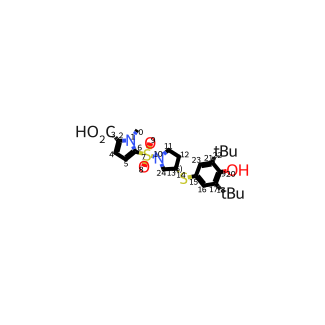 Cn1c(C(=O)O)ccc1S(=O)(=O)N1CC[C@H](Sc2cc(C(C)(C)C)c(O)c(C(C)(C)C)c2)C1